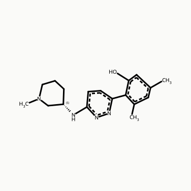 Cc1cc(C)c(-c2ccc(N[C@H]3CCCN(C)C3)nn2)c(O)c1